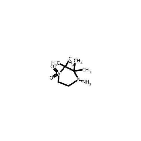 CC1(C)N(N)CCS(=O)(=O)C1(C)C